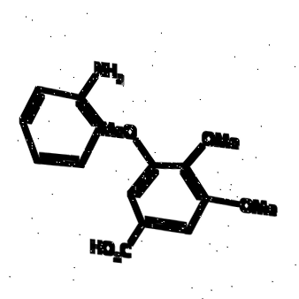 COc1cc(C(=O)O)cc(OC)c1OC.Nc1ccccc1